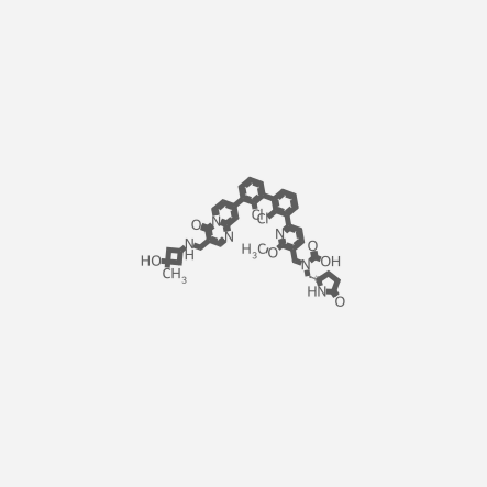 COc1nc(-c2cccc(-c3cccc(-c4ccn5c(=O)c(CNC6CC(C)(O)C6)cnc5c4)c3Cl)c2Cl)ccc1CN(C[C@@H]1CCC(=O)N1)C(=O)O